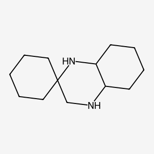 C1CCC2(CC1)CNC1CCCCC1N2